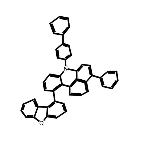 c1ccc(-c2ccc(N(c3ccc(-c4ccccc4)cc3)c3cccc(-c4cccc5oc6ccccc6c45)c3-c3ccccc3)cc2)cc1